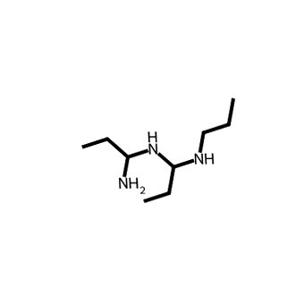 CCCNC(CC)NC(N)CC